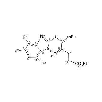 CCCCN(Cc1nc2c(F)c(F)cc(F)c2s1)C(=O)CCC(=O)OCC